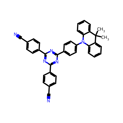 CC1(C)c2ccccc2N(c2ccc(-c3nc(-c4ccc(C#N)cc4)nc(-c4ccc(C#N)cc4)n3)cc2)c2ccccc21